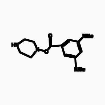 CNc1cc(NC)cc(C(=O)ON2CCNCC2)c1